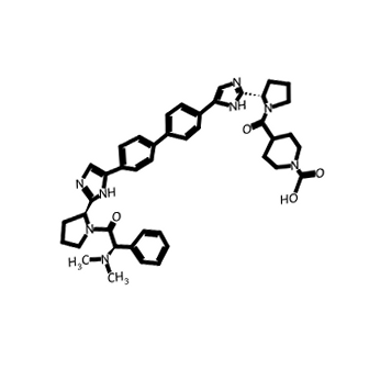 CN(C)[C@@H](C(=O)N1CCC[C@H]1c1ncc(-c2ccc(-c3ccc(-c4cnc([C@@H]5CCCN5C(=O)C5CCN(C(=O)O)CC5)[nH]4)cc3)cc2)[nH]1)c1ccccc1